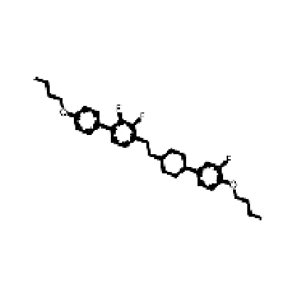 CCCCOc1ccc(-c2ccc(CCC3CCC(c4ccc(OCCCC)c(F)c4)CC3)c(F)c2F)cc1